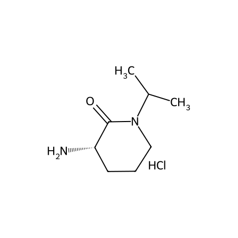 CC(C)N1CCC[C@H](N)C1=O.Cl